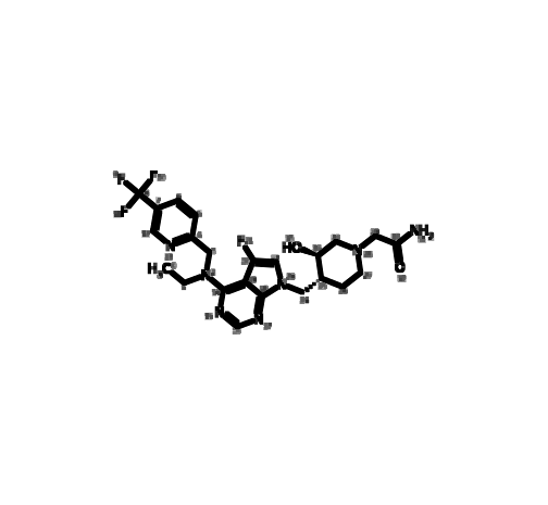 CCN(Cc1ccc(C(F)(F)F)cn1)c1ncnc2c1c(F)cn2C[C@H]1CCN(CC(N)=O)C[C@@H]1O